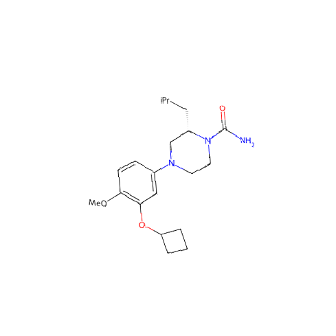 COc1ccc(N2CCN(C(N)=O)[C@@H](CC(C)C)C2)cc1OC1CCC1